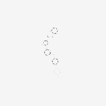 CCc1cccc(CC)c1NC(=O)c1cc(-c2ccnc(Nc3ccc(N4CCN(C)CC4)cc3OC)n2)[nH]n1